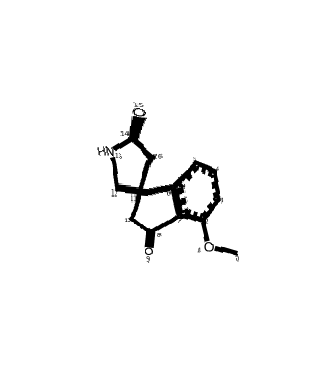 COc1cccc2c1C(=O)CC21CNC(=O)C1